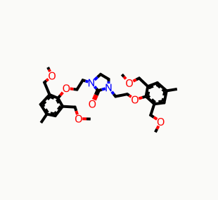 COCc1cc(C)cc(COC)c1OCCN1CCN(CCOc2c(COC)cc(C)cc2COC)C1=O